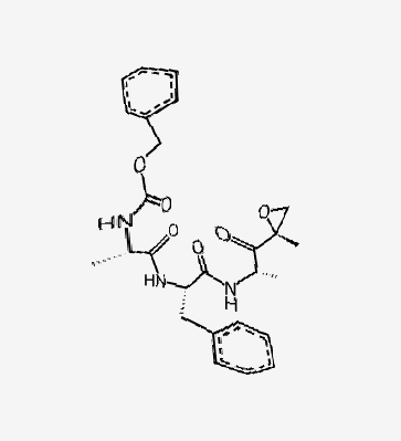 C[C@H](NC(=O)OCc1ccccc1)C(=O)N[C@@H](Cc1ccccc1)C(=O)N[C@@H](C)C(=O)[C@@]1(C)CO1